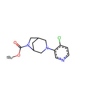 CC(C)(C)OC(=O)N1CC2CC1CN(c1cnccc1Cl)C2